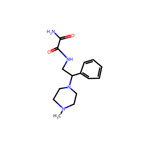 CN1CCN(C(CNC(=O)C(N)=O)c2ccccc2)CC1